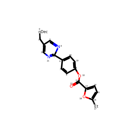 CCCCCCCCCCCc1cnc(-c2ccc(OC(=O)c3ccc(CC)o3)cc2)nc1